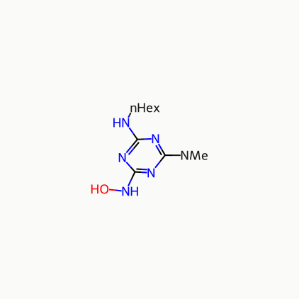 CCCCCCNc1nc(NC)nc(NO)n1